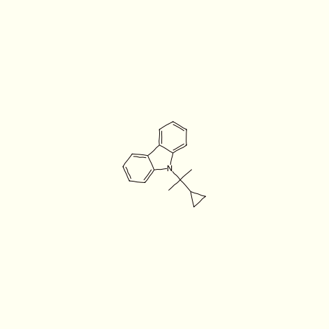 CC(C)(C1CC1)n1c2ccccc2c2ccccc21